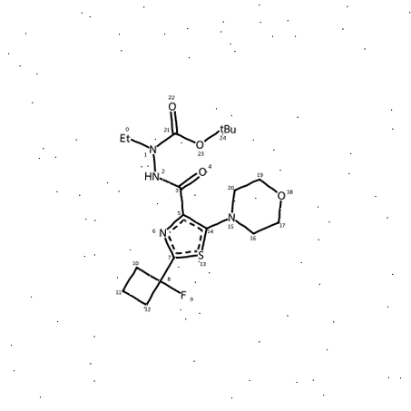 CCN(NC(=O)c1nc(C2(F)CCC2)sc1N1CCOCC1)C(=O)OC(C)(C)C